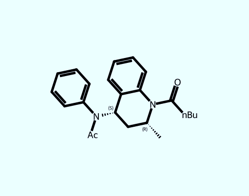 CCCCC(=O)N1c2ccccc2[C@@H](N(C(C)=O)c2ccccc2)C[C@H]1C